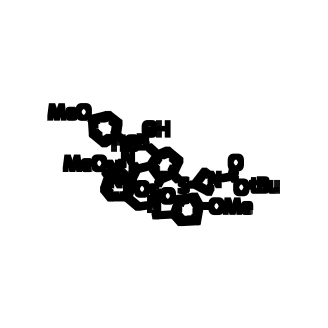 COc1ccc(CN(Cc2ccc(OC)cc2)S(=O)(=O)c2c(SC3CN(C(=O)OC(C)(C)C)C3)ccc(B(O)O)c2-c2nnnn2Cc2ccc(OC)cc2)cc1